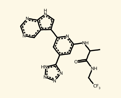 CC(Nc1cc(-c2nnn[nH]2)cc(-c2c[nH]c3ncncc23)n1)C(=O)NCC(F)(F)F